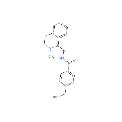 CCc1ccc(C(=O)NCC2c3ccccc3CCN2C)cc1